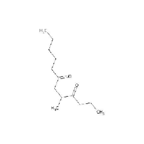 CCCCCC(=O)CC(C)C(=O)CCC